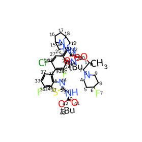 CC(CN1CCC(F)CC1)Oc1nc(N2C3CCC2CN(C(=O)OC(C)(C)C)C3)c2cc(Cl)c(-c3ccc(F)c4sc(NC(=O)OC(C)(C)C)nc34)c(F)c2n1